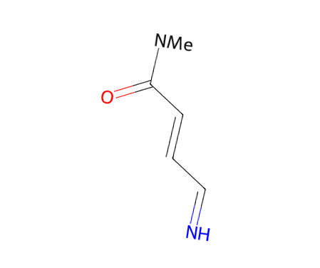 CNC(=O)/C=C/C=N